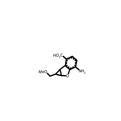 COCC1C2Oc3c(N)ccc(C(=O)O)c3C12